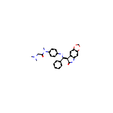 CN(C)CC(=O)N(C)c1ccc(NC(=C2C(=O)Nc3cc4c(cc32)OCO4)c2ccccc2)cc1